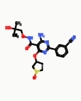 CC(C)(O)CONC(=O)c1c(N)nc(-c2cccc(C#N)c2)nc1OC1CC[S+]([O-])C1